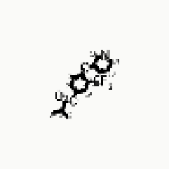 C=C(C)C(=O)Oc1ccc(Oc2cccnc2)c(C(F)(F)F)c1